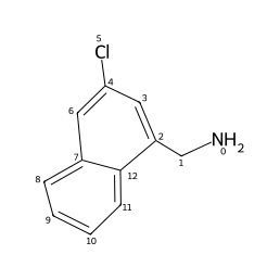 NCc1cc(Cl)cc2ccccc12